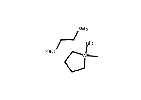 CCC[N+]1(C)CCCC1.CSCCC(=O)[O-]